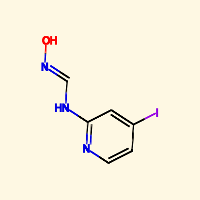 ON=CNc1cc(I)ccn1